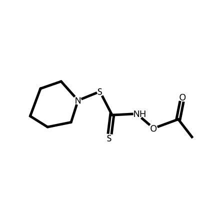 CC(=O)ONC(=S)SN1CCCCC1